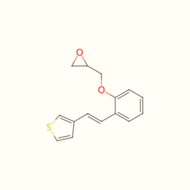 C(=Cc1ccccc1OCC1CO1)c1ccsc1